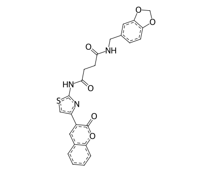 O=C(CCC(=O)Nc1nc(-c2cc3ccccc3oc2=O)cs1)NCc1ccc2c(c1)OCO2